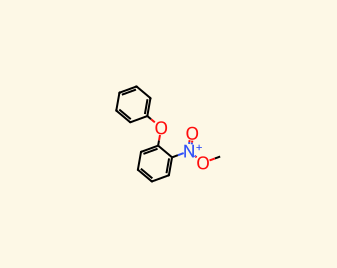 CO[N+](=O)c1ccccc1Oc1ccccc1